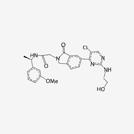 COc1cccc([C@@H](C)NC(=O)CN2Cc3ccc(-c4nc(NCCO)ncc4Cl)cc3C2=O)c1